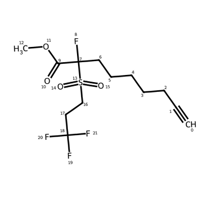 C#CCCCCCC(F)(C(=O)OC)S(=O)(=O)CCC(F)(F)F